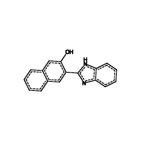 Oc1cc2ccccc2cc1-c1nc2ccccc2[nH]1